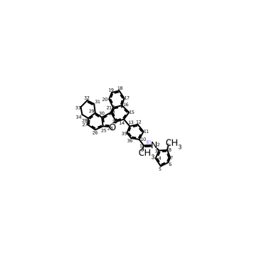 C/C(=N\c1ccccc1C)c1ccc(-c2cc3ccccc3c3c2oc2ccc4c(c23)C=CCC4)cc1